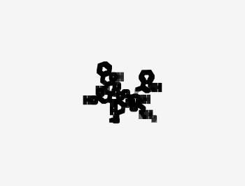 CSCC[C@H](NC(=O)[C@H](Cc1c[nH]c2ccccc12)NC(=O)CN)C(=O)N[C@@H](CC(=O)O)C(=O)N[C@@H](Cc1ccccc1)C(=O)O